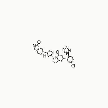 O=C1N=Cc2ccc(-c3cnc(C4CCc5cc(-c6cc(Cl)ccc6-n6cnnn6)cc(=O)n54)[nH]3)cc21